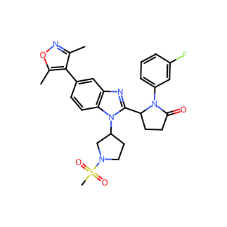 Cc1noc(C)c1-c1ccc2c(c1)nc(C1CCC(=O)N1c1cccc(F)c1)n2C1CCN(S(C)(=O)=O)C1